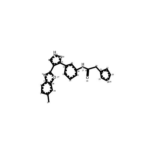 Cc1ccc2nc(-c3c[nH]nc3-c3cccc(NC(=O)Cc4ccsc4)c3)oc2c1